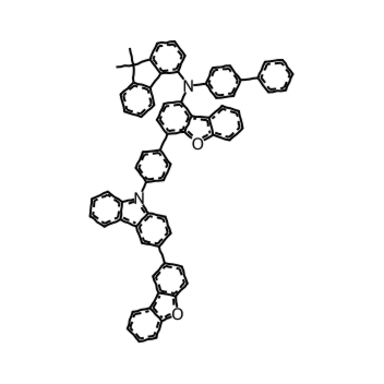 CC1(C)c2ccccc2-c2c(N(c3ccc(-c4ccccc4)cc3)c3ccc(-c4ccc(-n5c6ccccc6c6cc(-c7ccc8oc9ccccc9c8c7)ccc65)cc4)c4oc5ccccc5c34)cccc21